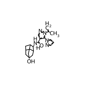 C=C(C)n1ncc(C(=O)N[C@H]2C3CC4CC2C[C@](O)(C4)C3)c1-n1cccn1